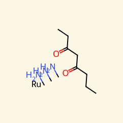 CCCC(=O)CC(=O)CC.CN.CN.CN.[Ru]